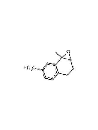 CC12OC1CCc1ccc(C(=O)O)cc12